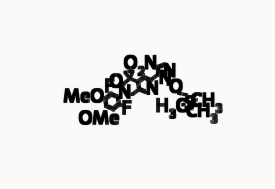 COc1cc(OC)c(F)c(N2Cc3cnc(-c4c([N+](=O)[O-])cnn4COCCS(C)(C)C)cc3C3(CC3)C2=O)c1F